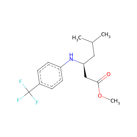 COC(=O)C[C@H](CC(C)C)Nc1ccc(C(F)(F)F)cc1